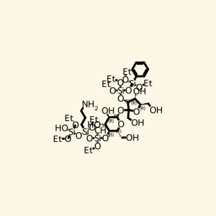 CCO[Si](C)(O[C@H]1[C@H](O)[C@@H](O)[C@@H](OC2(CO)O[C@H](CO)[C@@H](O)[C@@H]2O[Si](OCC)(OCC)O[Si](OCC)(OCC)c2ccccc2)O[C@@H]1CO)O[Si](CCCN)(OCC)O[Si](O)(OCC)OCC